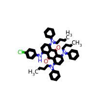 CCCCN(c1ccccc1)c1ccc(Nc2ccc(Cl)cc2)c2c1C(=O)c1c(N(CCCC)c3ccccc3)ccc(N(CCCC)c3ccccc3)c1C2=O